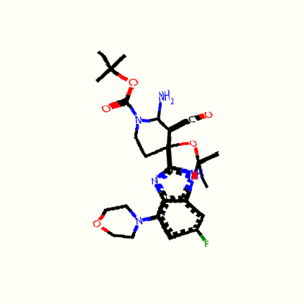 CC(C)(C)OC(=O)N1CCC(OC(C)(C)C)(c2nc3c(N4CCOCC4)cc(F)cc3[nH]2)C(=C=O)C1N